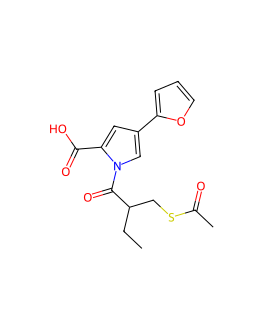 CCC(CSC(C)=O)C(=O)n1cc(-c2ccco2)cc1C(=O)O